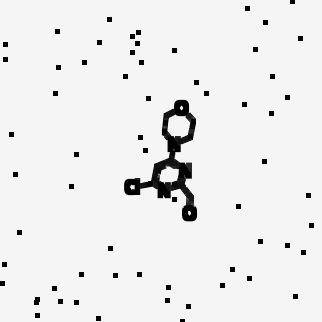 O=Cc1nc(Cl)cc(N2CCOCC2)n1